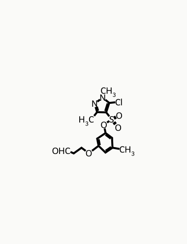 Cc1cc(OCCC=O)cc(OS(=O)(=O)c2c(C)nn(C)c2Cl)c1